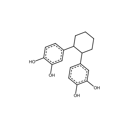 Oc1ccc(C2CCCCC2c2ccc(O)c(O)c2)cc1O